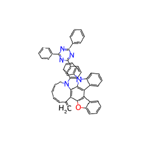 C=C1/C=C\C=C/CN(c2cccc(-c3nc(-c4ccccc4)nc(-c4ccccc4)n3)c2)c2c1c1oc3ccccc3c1c1c3ccccc3n(-c3ccccc3)c21